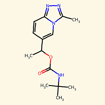 Cc1nnc2ccc(C(C)OC(=O)NC(C)(C)C)cn12